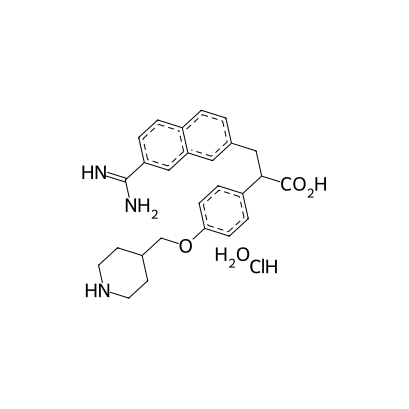 Cl.N=C(N)c1ccc2ccc(CC(C(=O)O)c3ccc(OCC4CCNCC4)cc3)cc2c1.O